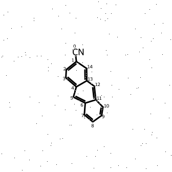 N#Cc1ccc2cc3[c]cccc3cc2c1